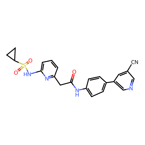 N#Cc1cncc(-c2ccc(NC(=O)Cc3cccc(NS(=O)(=O)C4CC4)n3)cc2)c1